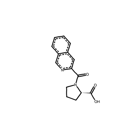 O=C(O)[C@@H]1CCCN1C(=O)c1cc2ccccc2cn1